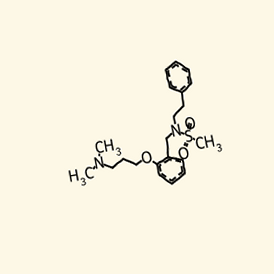 CN(C)CCCOc1ccccc1CN(CCc1ccccc1)S(C)(=O)=O